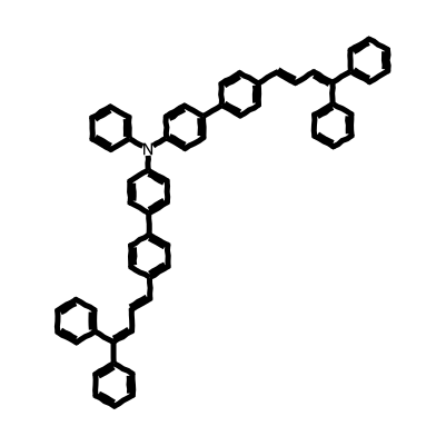 C(=Cc1ccc(-c2ccc(N(c3ccccc3)c3ccc(-c4ccc(C=CC=C(c5ccccc5)c5ccccc5)cc4)cc3)cc2)cc1)C=C(c1ccccc1)c1ccccc1